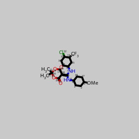 COC1CCC(NC(NC2CCC(Cl)C(C(F)(F)F)C2)=C2C(=O)OC(C)(C)OC2=O)CC1